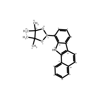 CC1(C)OB(c2cccc3c2[nH]c2c4ccccc4ccc32)OC1(C)C